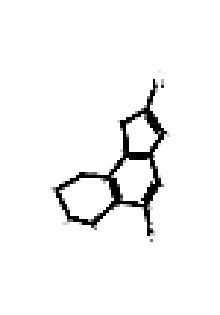 CCC1=Cc2cc(Br)c3c(c2C1)CCCC3